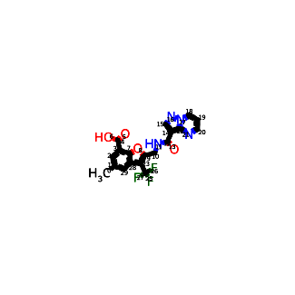 Cc1cc(C(=O)O)c2oc(CNC(=O)c3cnn4cccnc34)c(C(F)(F)F)c2c1